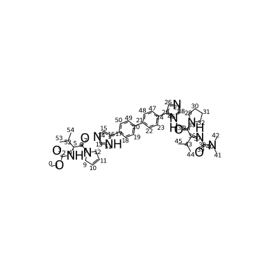 COC(=O)N[C@H](C(=O)N1CC=C[C@H]1c1ncc(-c2ccc(-c3ccc(-c4cnc([C@@H]5CCCN5C(=O)C(NC(=O)N(C)C)C(C)C)[nH]4)cc3)cc2)[nH]1)C(C)C